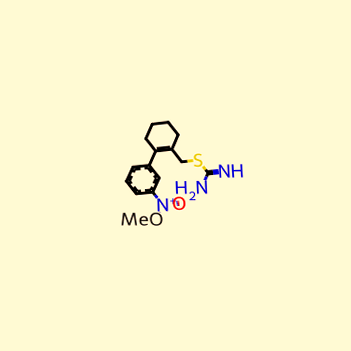 CO[N+](=O)c1cccc(C2=C(CSC(=N)N)CCCC2)c1